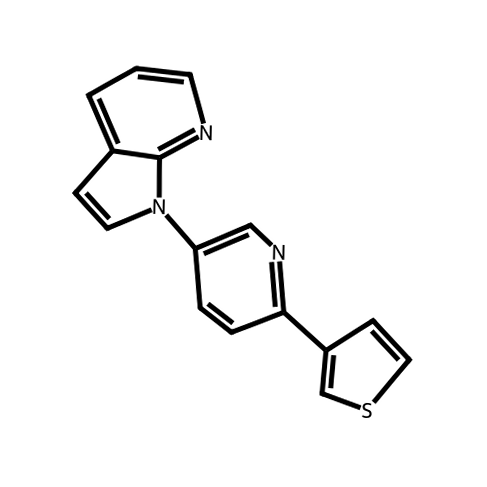 c1cnc2c(c1)ccn2-c1ccc(-c2ccsc2)nc1